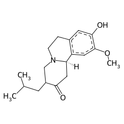 COc1cc2c(cc1O)CCN1CC(CC(C)C)C(=O)C[C@H]21